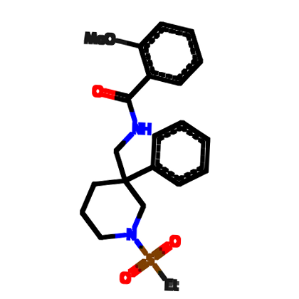 CCS(=O)(=O)N1CCCC(CNC(=O)c2ccccc2OC)(c2ccccc2)C1